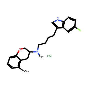 CCCN(CCCCc1c[nH]c2ccc(F)cc12)C1COc2cccc(OC)c2C1.Cl